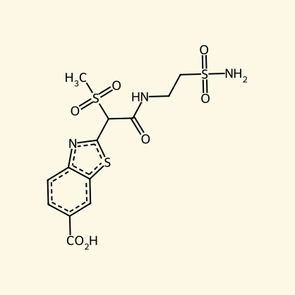 CS(=O)(=O)C(C(=O)NCCS(N)(=O)=O)c1nc2ccc(C(=O)O)cc2s1